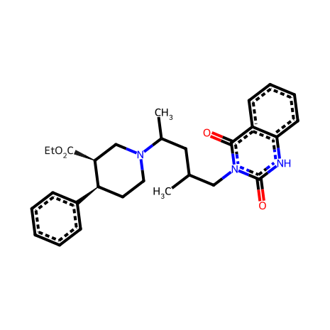 CCOC(=O)[C@H]1CN(C(C)CC(C)Cn2c(=O)[nH]c3ccccc3c2=O)CC[C@H]1c1ccccc1